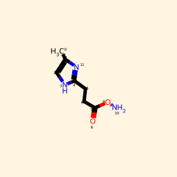 Cc1c[nH]c(CCC(=O)ON)n1